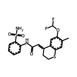 Cc1cc2c(cc1OC(F)F)/C(=C/C(=O)Nc1ccccc1S(N)(=O)=O)CCS2